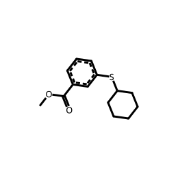 COC(=O)c1cccc(SC2CCCCC2)c1